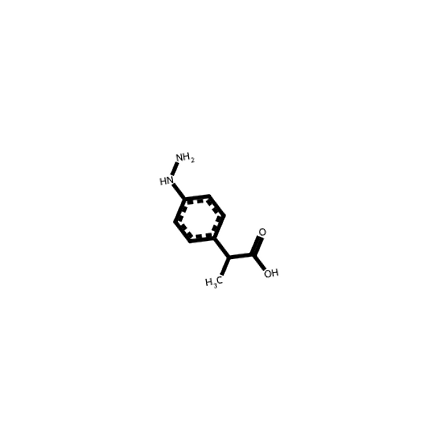 CC(C(=O)O)c1ccc(NN)cc1